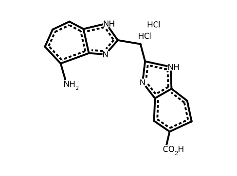 Cl.Cl.Nc1cccc2[nH]c(Cc3nc4cc(C(=O)O)ccc4[nH]3)nc12